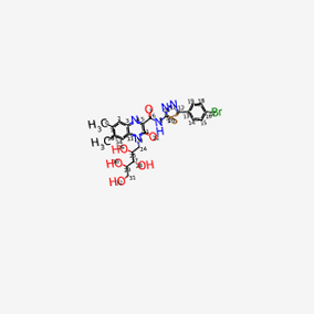 Cc1cc2nc(C(=O)Nc3nnc(-c4ccc(Br)cc4)s3)c(=O)n(C[C@H](O)[C@H](O)[C@H](O)CO)c2cc1C